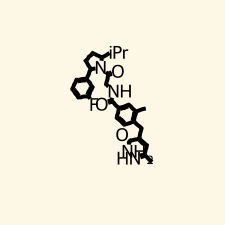 CC(=N)/C=C(/Cc1ccc(C(=O)NCC(=O)N2C(c3cccc(F)c3)CCC2C(C)C)cc1C)C(N)=O